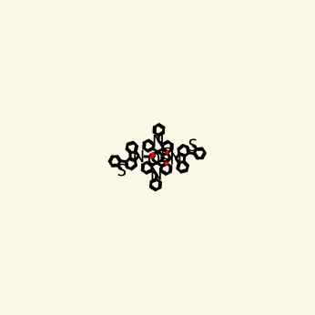 c1ccc(N2c3ccccc3C3(c4ccccc42)c2cc(-n4c5ccccc5c5c6c(ccc54)sc4ccccc46)oc2C2(c4ccccc4N(c4ccccc4)c4ccccc42)c2cc(-n4c5ccccc5c5c6c(ccc54)sc4ccccc46)oc23)cc1